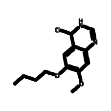 CCCCOc1cc2c(cc1OC)N=CNC2Cl